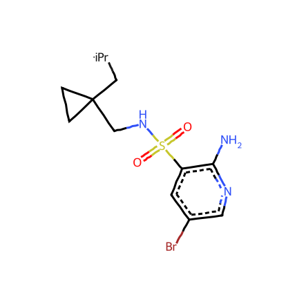 C[C](C)CC1(CNS(=O)(=O)c2cc(Br)cnc2N)CC1